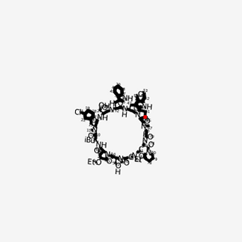 CCO[C@@H]1C[C@H]2C(=O)N[C@@H]([C@@H](C)CC)C(=O)N(C)[C@@H](Cc3cccc(Cl)c3)C(=O)N[C@@H](CO)C(=O)N[C@@H](Cc3c[nH]c4ccccc34)C(=O)N[C@@H](Cc3c[nH]c4ccccc34)C(=O)N3CCC[C@H]3C(=O)N(C)CC(=O)N[C@H](C(=O)N3CCCCC3)CC(=O)N(CC)CC(=O)N(C)[C@@H](CO)C(=O)N2C1